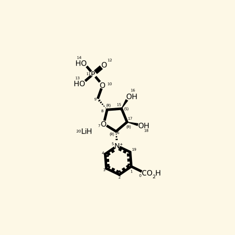 O=C(O)c1ccc[n+]([C@@H]2O[C@H](COP(=O)(O)O)[C@@H](O)[C@H]2O)c1.[LiH]